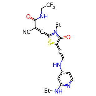 CCNc1cc(NC=C=c2sc(=C=C(C#N)C(=O)NCC(F)(F)F)n(CC)c2=O)ccn1